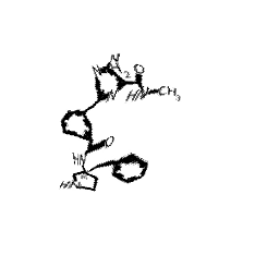 CNC(=O)c1nc(-c2cccc(C(=O)N[C@]3(Cc4ccccc4)CCNC3)c2)cnc1N